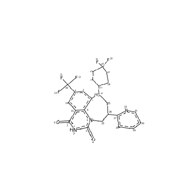 O=c1[nH]c(=O)n2c3c(cc(C(F)(F)F)cc13)[SH](C1CCC(F)(F)CC1)CC(c1ccccn1)C2